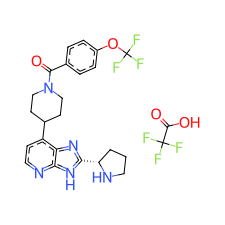 O=C(O)C(F)(F)F.O=C(c1ccc(OC(F)(F)F)cc1)N1CCC(c2ccnc3[nH]c([C@@H]4CCCN4)nc23)CC1